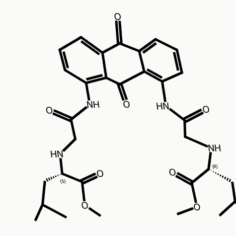 COC(=O)[C@H](CC(C)C)NCC(=O)Nc1cccc2c1C(=O)c1c(NC(=O)CN[C@H](CC(C)C)C(=O)OC)cccc1C2=O